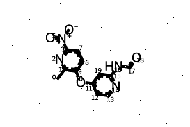 Cc1nc([N+](=O)[O-])ccc1Oc1ccnc(NC=O)c1